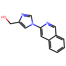 OCc1cn(-c2cc3ccccc3cn2)cn1